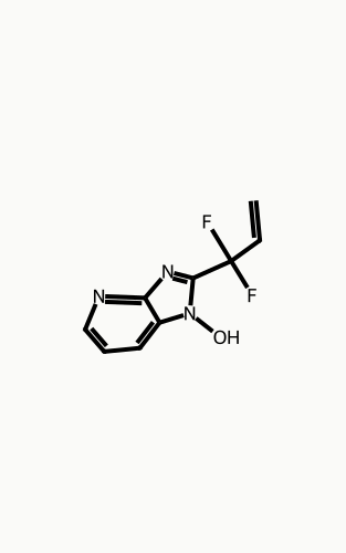 C=CC(F)(F)c1nc2ncccc2n1O